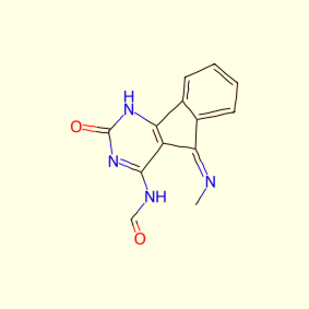 C/N=C1/c2ccccc2-c2[nH]c(=O)nc(NC=O)c21